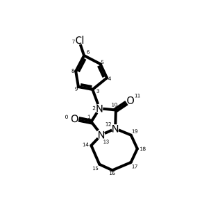 O=c1n(-c2ccc(Cl)cc2)c(=O)n2n1CCCCCC2